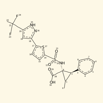 CC1[C@H](c2ccccc2)[C@]1(NS(=O)(=O)c1ccc(-c2cc(C(C)(F)F)[nH]n2)s1)C(=O)O